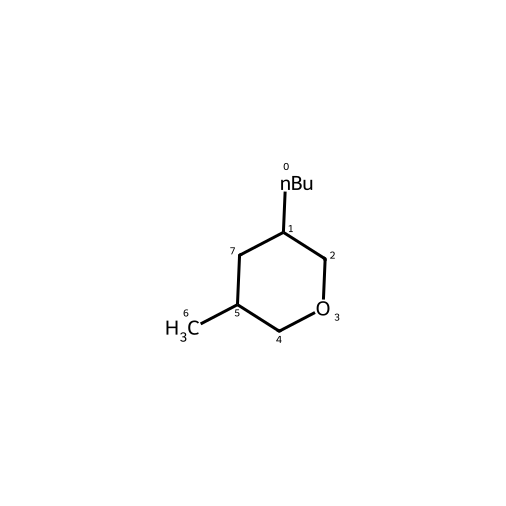 CCCCC1COCC(C)C1